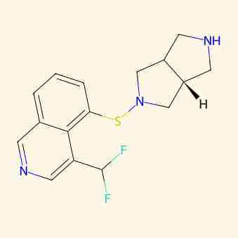 FC(F)c1cncc2cccc(SN3CC4CNC[C@@H]4C3)c12